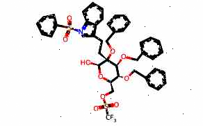 O=S(=O)(c1ccccc1)n1cc(CC[C@]2(OCc3ccccc3)[C@H](O)O[C@H](COS(=O)(=O)C(F)(F)F)[C@@H](OCc3ccccc3)[C@@H]2OCc2ccccc2)c2ccccc21